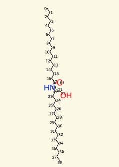 CCCCCCCCCCCCCCCCCC(=O)NC(CO)CCCCCCCCCCCCCCCC